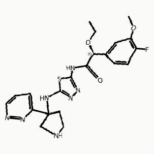 CCO[C@H](C(=O)Nc1nnc(NC2(c3cccnn3)CCNC2)s1)c1ccc(F)c(OC)c1